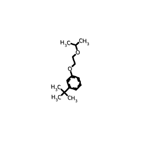 CC(C)OCCOc1cccc(C(C)(C)C)c1